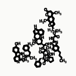 CCCCc1ccc2[nH]c(NC(=O)OC)nc2c1.CN1C[C@H](C(=O)N[C@]2(C)O[C@@]3(O)[C@@H]4CCCN4C(=O)[C@H](Cc4ccccc4)N3C2=O)C[C@@H]2c3cccc4[nH]cc(c34)C[C@H]21.CN[C@@H](C)Cc1ccccc1.Cc1cc2cc3c(C)cc(=O)oc3c(C)c2o1.Cc1nccc2c1[nH]c1cc(O)ccc12